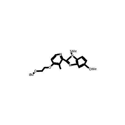 CCC(C)OCCOc1ccnc(-c2nc3cc(OC)ccc3n2SC)c1C